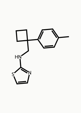 Cc1ccc(C2(CNc3nccs3)CCC2)cc1